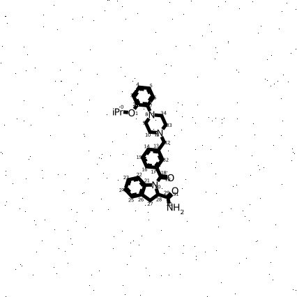 CC(C)Oc1ccccc1N1CCN(Cc2cccc(C(=O)N3c4cc[c]cc4CC3C(N)=O)c2)CC1